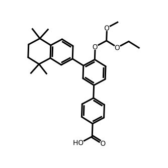 CCOC(OC)Oc1ccc(-c2ccc(C(=O)O)cc2)cc1-c1ccc2c(c1)C(C)(C)CCC2(C)C